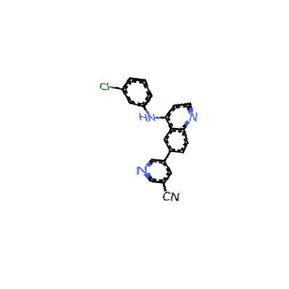 N#Cc1cncc(-c2ccc3nccc(Nc4cccc(Cl)c4)c3c2)c1